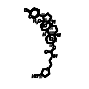 C[C@]12CC[C@H](OC(=O)NCCN3CC[C@@H](O)C3)C[C@H]1CC[C@@H]1[C@@H]2CC[C@]2(C)[C@@H](c3ccc(=O)oc3)[CH]C[C@]12O